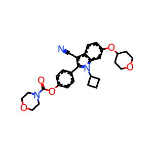 N#Cc1c(-c2ccc(OC(=O)N3CCOCC3)cc2)n(C2CCC2)c2cc(OC3CCOCC3)ccc12